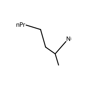 CCCCCC(C)[N]